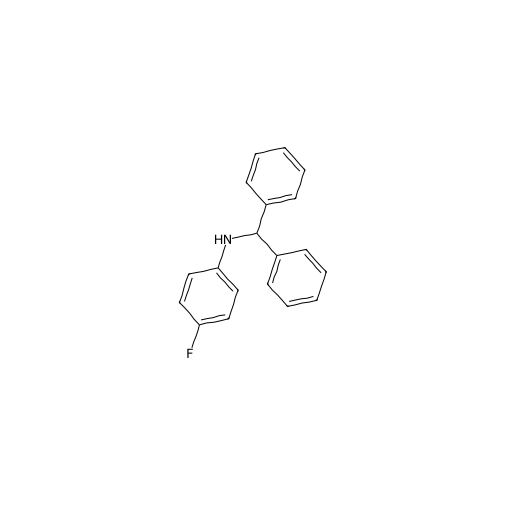 Fc1ccc(NC(c2ccccc2)c2ccccc2)cc1